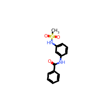 CS(=O)(=O)Nc1cccc(NC(=O)c2ccccc2)c1